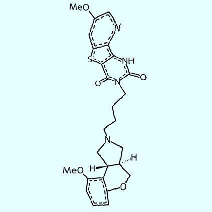 COc1cnc2c(c1)sc1c(=O)n(CCCCN3C[C@H]4COc5cccc(OC)c5[C@@H]4C3)c(=O)[nH]c12